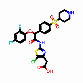 O=C(O)Cc1nc(NC(=O)C(Oc2ccc(F)cc2F)c2ccc(S(=O)(=O)C3CCNCC3)cc2)sc1Cl